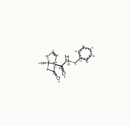 O=C1C[C@@H]2SC=C[N+]12C(=O)NCc1ccccc1